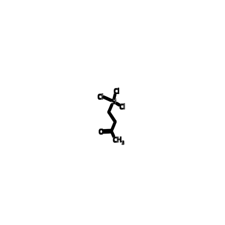 CC(=O)CC[Si](Cl)(Cl)Cl